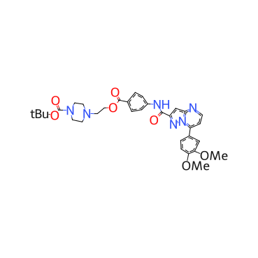 COc1ccc(-c2ccnc3cc(C(=O)Nc4ccc(C(=O)OCCN5CCN(C(=O)OC(C)(C)C)CC5)cc4)nn23)cc1OC